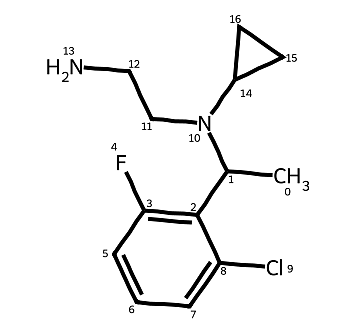 CC(c1c(F)cccc1Cl)N(CCN)C1CC1